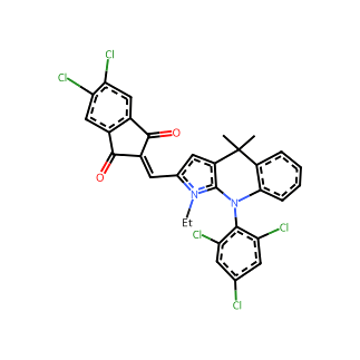 CCn1c(C=C2C(=O)c3cc(Cl)c(Cl)cc3C2=O)cc2c1N(c1c(Cl)cc(Cl)cc1Cl)c1ccccc1C2(C)C